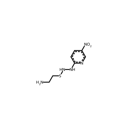 NCCSNNc1ccc([N+](=O)[O-])cn1